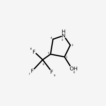 OC1CNCC1C(F)(F)F